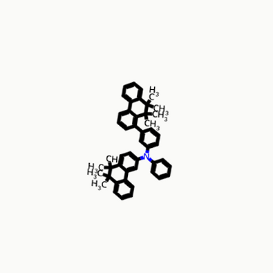 CC1(C)c2ccccc2-c2cc(N(c3ccccc3)c3cccc(-c4cccc5c4C(C)(C)C(C)(C)c4ccccc4-5)c3)ccc2C1(C)C